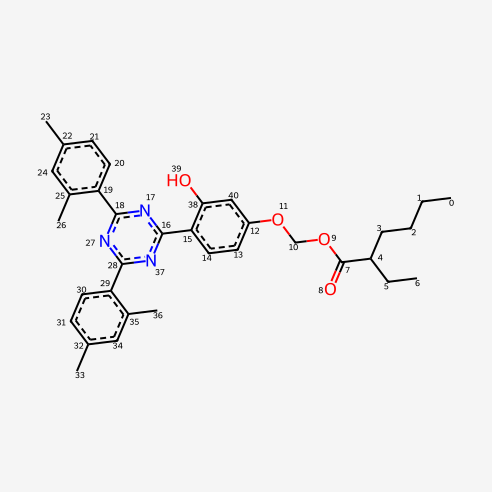 CCCCC(CC)C(=O)OCOc1ccc(-c2nc(-c3ccc(C)cc3C)nc(-c3ccc(C)cc3C)n2)c(O)c1